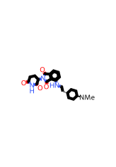 CN[C@H]1CC[C@H](CCNc2cccc3c2C(=O)N(C2CCC(=O)NC2=O)C3=O)CC1